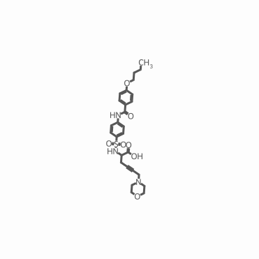 CCCCOc1ccc(C(=O)Nc2ccc(S(=O)(=O)NC(CC#CCN3CCOCC3)C(=O)O)cc2)cc1